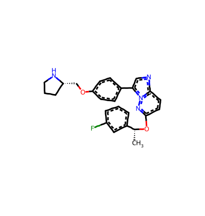 C[C@@H](Oc1ccc2ncc(-c3ccc(OC[C@@H]4CCCN4)cc3)n2n1)c1cccc(F)c1